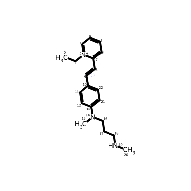 CC[n+]1ccccc1/C=C/c1ccc(N(C)CCCNC)cc1